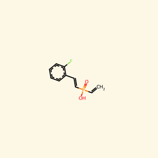 C=CP(=O)(O)C=Cc1ccccc1F